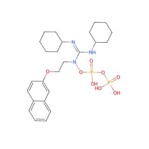 O=P(O)(O)OP(=O)(O)ON(CCOc1ccc2ccccc2c1)C(=NC1CCCCC1)NC1CCCCC1